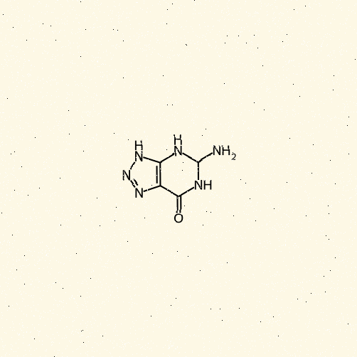 NC1NC(=O)c2nn[nH]c2N1